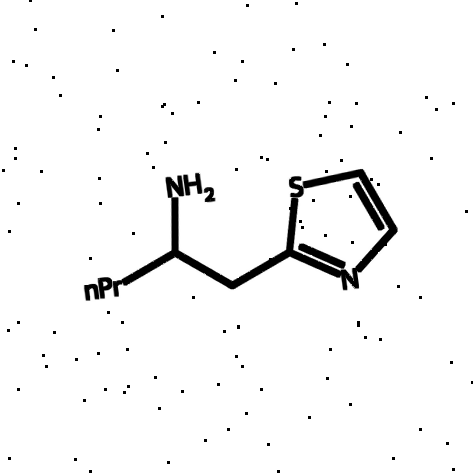 CCCC(N)Cc1nccs1